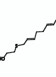 C/C=C/CC/C=C/CSCCO